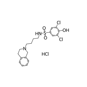 Cl.O=S(=O)(NCCCCN1CCc2ccccc2C1)c1cc(Cl)c(O)c(Cl)c1